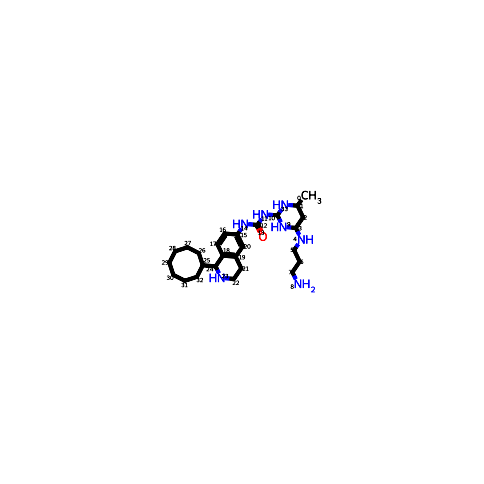 CC1CC(NCCCN)NC(NC(=O)Nc2ccc3c(c2)CCNC3C2CCCCCCC2)N1